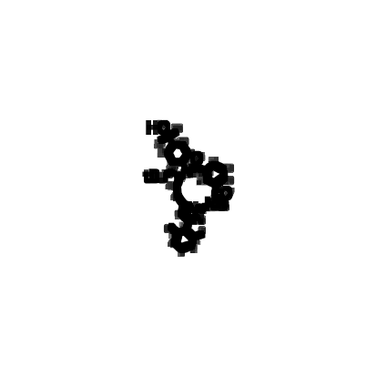 Cc1cccc(C)c1-c1cc2nc(n1)NS(=O)(=O)c1cccc(c1)C(=O)N([C@H]1CC[C@H](C(C)(C)O)CC1)[C@H](CC(C)(C)C)CC2